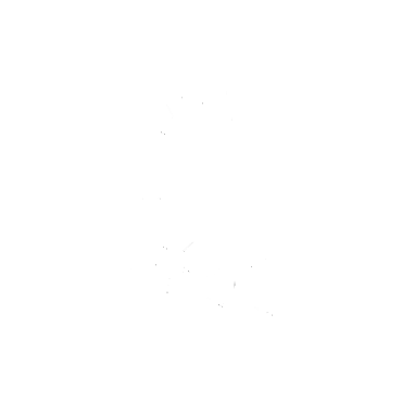 CC(C)(C)OC(=O)N1CCC(Oc2ccc(N3C(=S)N(c4cnc(C#N)c(C(F)(F)F)c4)C(=O)C34CCC4)cn2)CC1